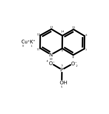 [Cu+].[K+].[O-]P([O-])O.c1ccc2ncccc2c1